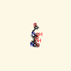 COc1cccc(C#CCN2CC[C@@H](CC[C@@H](O)c3ccnc4ccc(OC)cc34)[C@@H](C(=O)O)C2)c1